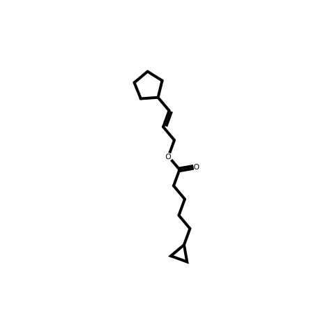 O=C(CCCCC1CC1)OCC=CC1CCCC1